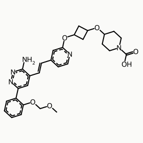 COCOc1ccccc1-c1cc(/C=C/c2ccnc(OC3CC(OC4CCN(C(=O)O)CC4)C3)c2)c(N)nn1